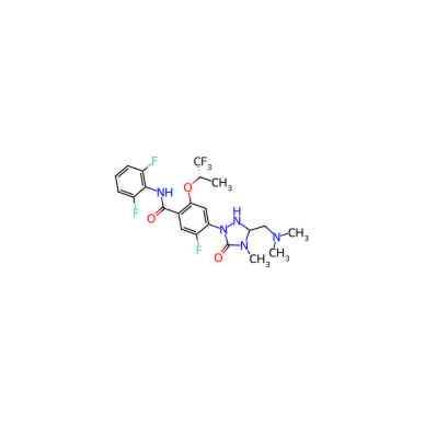 C[C@H](Oc1cc(N2NC(CN(C)C)N(C)C2=O)c(F)cc1C(=O)Nc1c(F)cccc1F)C(F)(F)F